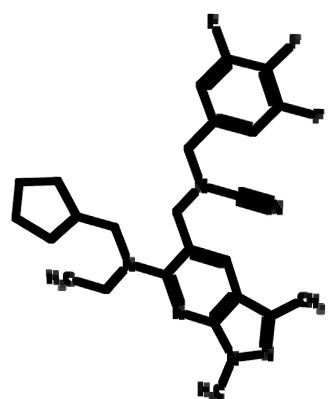 CCN(CC1CCCC1)c1nc2c(cc1CN(C#N)Cc1cc(F)c(F)c(F)c1)c(C)nn2C